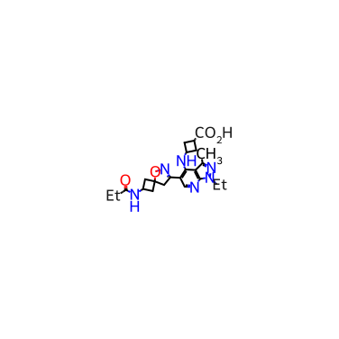 CCC(=O)NC1CC2(CC(c3cnc4c(c(C)nn4CC)c3NC3CC(C(=O)O)C3)=NO2)C1